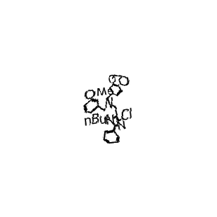 CCCCn1c(-c2ccccc2)nc(Cl)c1CN(Cc1cccc(OC)c1)Cc1ccc2c(c1)OCCO2